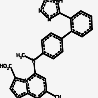 Cc1cc(N(C)c2ccc(-c3ccccc3-c3nnn[nH]3)cc2)n2c(C(=O)O)cnc2n1